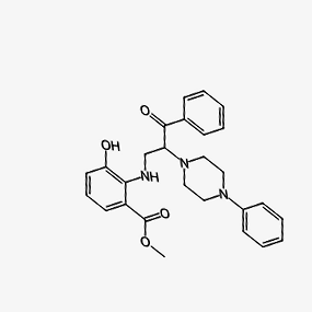 COC(=O)c1cccc(O)c1NCC(C(=O)c1ccccc1)N1CCN(c2ccccc2)CC1